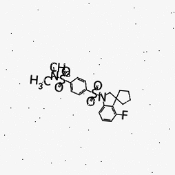 CN(C)S(=O)(=O)c1ccc(S(=O)(=O)N2CC3(CCCC3)c3c(F)cccc32)cc1